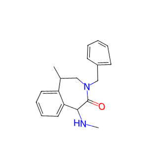 CNC1C(=O)N(Cc2ccccc2)CC(C)c2ccccc21